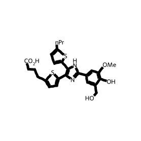 CCCc1ccc(-c2[nH]c(-c3cc(CO)c(O)c(OC)c3)nc2-c2ccc(CCCC(=O)O)s2)s1